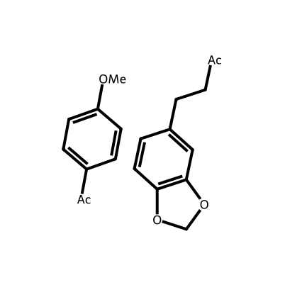 CC(=O)CCc1ccc2c(c1)OCO2.COc1ccc(C(C)=O)cc1